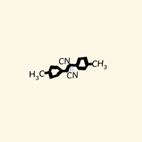 [C-]#[N+]/C(=C(/C#N)c1ccc(C)cc1)c1ccc(C)cc1